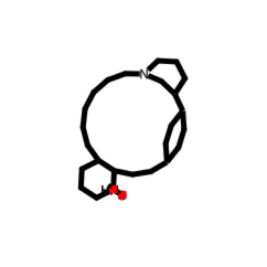 C1CCCN2CCCC(C2)C2CCC(CC2)CCC2C(CC1)CCCC21NCCON1